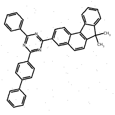 CC1(C)c2ccccc2-c2c1ccc1cc(-c3nc(-c4ccccc4)nc(-c4ccc(-c5ccccc5)cc4)n3)ccc21